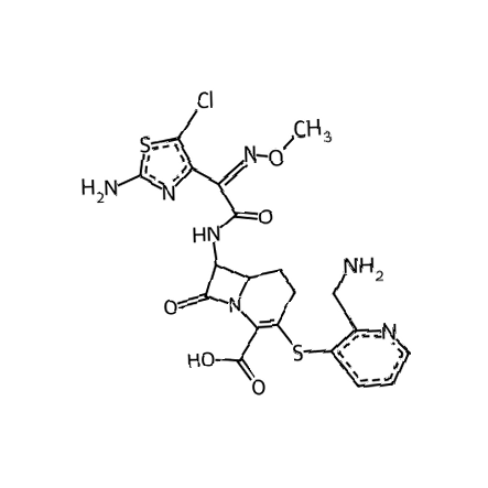 CO/N=C(\C(=O)NC1C(=O)N2C(C(=O)O)=C(Sc3cccnc3CN)CCC12)c1nc(N)sc1Cl